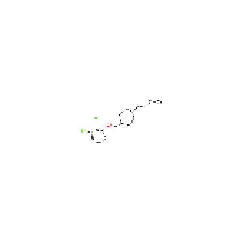 O=CCCC1CCC(COC2=C(F)C(F)=CCC2)CC1